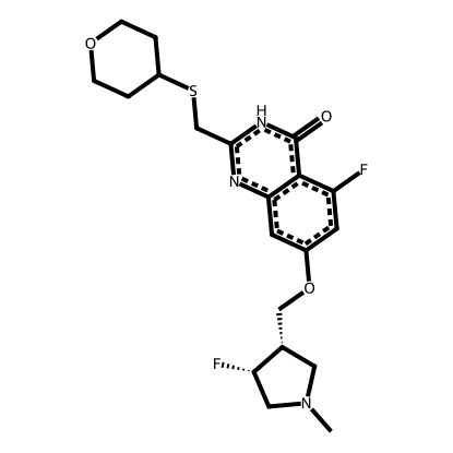 CN1C[C@@H](COc2cc(F)c3c(=O)[nH]c(CSC4CCOCC4)nc3c2)[C@@H](F)C1